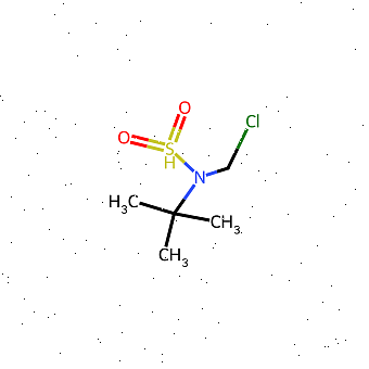 CC(C)(C)N(CCl)[SH](=O)=O